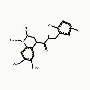 CCOC(=O)N1c2cc(OC)c(OC)cc2C(C(=O)NCc2cc(Cl)ccc2Cl)CC1C